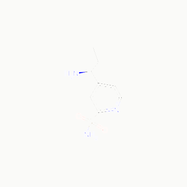 CC[C@H](N)c1ccnc(S(N)(=O)=O)c1